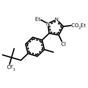 CCOC(=O)c1nn(CC)c(-c2ccc(CC(C)(C)C(F)(F)F)cc2C)c1Cl